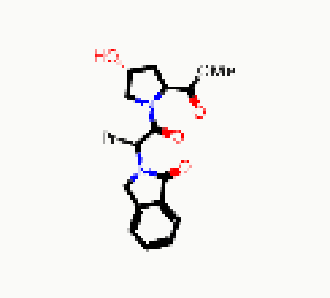 COC(=O)[C@@H]1C[C@@H](O)CN1C(=O)[C@H](C(C)C)N1Cc2ccccc2C1=O